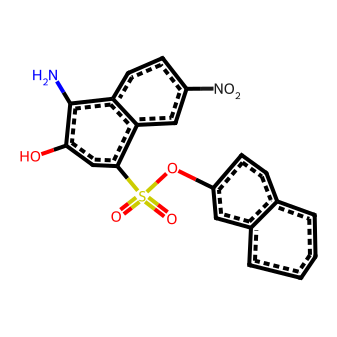 Nc1c(O)cc(S(=O)(=O)Oc2ccc3ccccc3c2)c2cc([N+](=O)[O-])ccc12